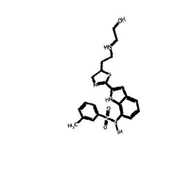 Cc1cccc(S(=O)(=O)N(S)c2cccc3cc(C4=NCC(CCNCCO)S4)[nH]c23)c1